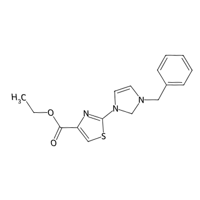 CCOC(=O)c1csc(N2C=CN(Cc3ccccc3)C2)n1